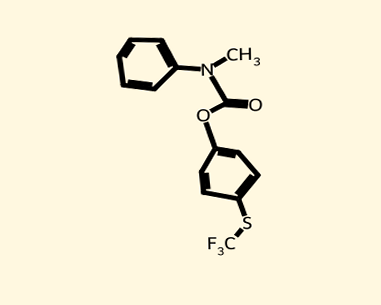 CN(C(=O)Oc1ccc(SC(F)(F)F)cc1)c1ccccc1